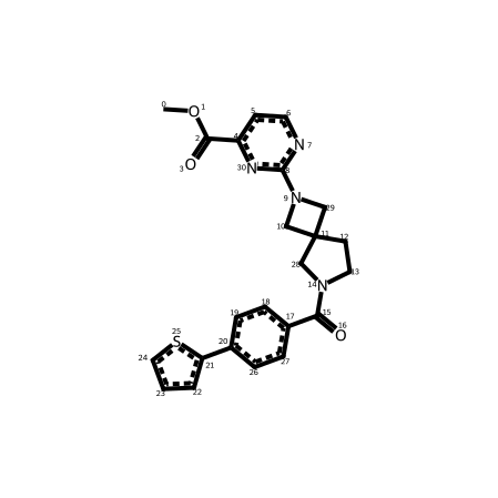 COC(=O)c1ccnc(N2CC3(CCN(C(=O)c4ccc(-c5cccs5)cc4)C3)C2)n1